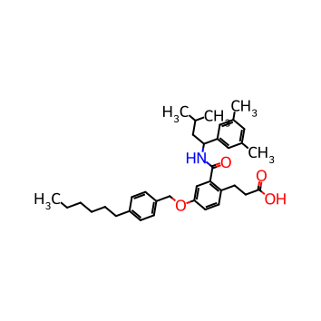 CCCCCCc1ccc(COc2ccc(CCC(=O)O)c(C(=O)NC(CC(C)C)c3cc(C)cc(C)c3)c2)cc1